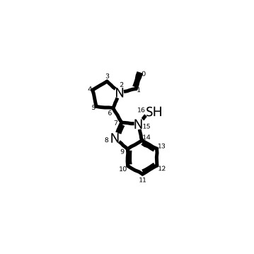 C=CN1CCCC1c1nc2ccccc2n1S